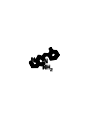 Cc1ccccc1Cc1cc2ncccc2c(N)n1